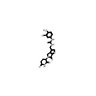 Cc1ccc(NC(=S)NCc2csc3c2CN(C2CCC(=O)NC2=O)C3=O)cc1Cl